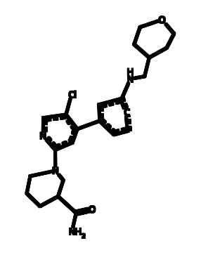 NC(=O)C1CCCN(c2cc(-c3cccc(NCC4CCOCC4)c3)c(Cl)cn2)C1